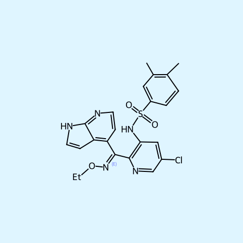 CCO/N=C(/c1ncc(Cl)cc1NS(=O)(=O)c1ccc(C)c(C)c1)c1ccnc2[nH]ccc12